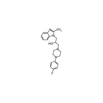 Cc1nc2ccccc2n1CC(O)CN1CCN(c2ccc(F)cc2)CC1